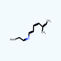 C\C=C(C)/C=C\C=C\N=C/CNC